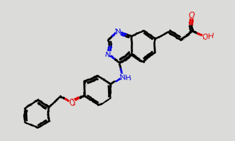 O=C(O)C=Cc1ccc2c(Nc3ccc(OCc4ccccc4)cc3)ncnc2c1